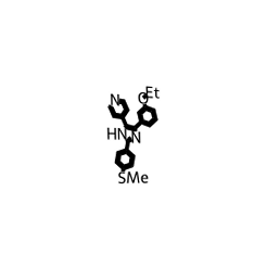 CCOc1cccc(-c2nc(-c3ccc(SC)cc3)[nH]c2-c2ccncc2)c1